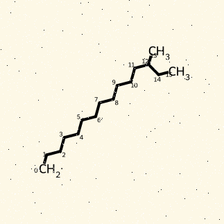 [CH2]CCCCCCCCCCCC(C)CC